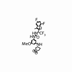 COc1cc(NC(=O)N[C@@H](c2oc3c(F)cc(F)cc3c2C)C(F)(F)F)cc(N[C@@H]2CCS(=O)(=O)C2)c1